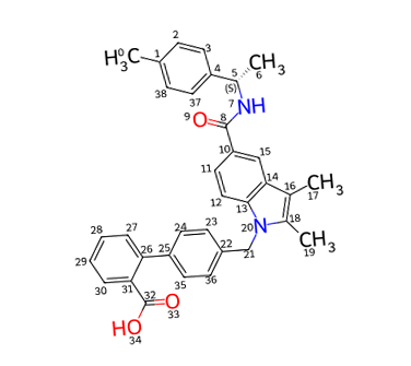 Cc1ccc([C@H](C)NC(=O)c2ccc3c(c2)c(C)c(C)n3Cc2ccc(-c3ccccc3C(=O)O)cc2)cc1